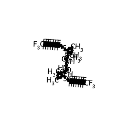 Cc1cc(C)c(OC(C)C(=O)NCCNC(=O)C(C)Oc2c(C)cc(C)cc2CSCCC(F)(F)C(F)(F)C(F)(F)C(F)(F)C(F)(F)C(F)(F)C(F)(F)C(F)(F)F)c(CSCCC(F)(F)C(F)(F)C(F)(F)C(F)(F)C(F)(F)C(F)(F)C(F)(F)C(F)(F)F)c1